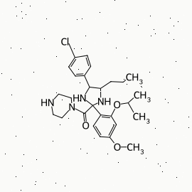 CCCC1NC(C(=O)N2CCNCC2)(c2ccc(OC)cc2OC(C)C)NC1c1ccc(Cl)cc1